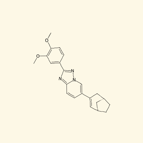 COc1ccc(-c2nc3ccc(C4=CC5CCC(C4)C5)cn3n2)cc1OC